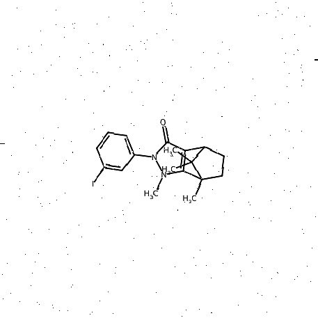 Cn1c2c(c(=O)n1-c1cccc(I)c1)C1CCC2(C)C1(C)C